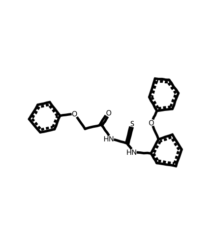 O=C(COc1ccccc1)NC(=S)Nc1ccccc1Oc1ccccc1